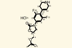 CC(=O)OC[C@H]1CN(c2cc(F)c(C3=CCNCC3)c(F)c2)C(=O)O1.Cl